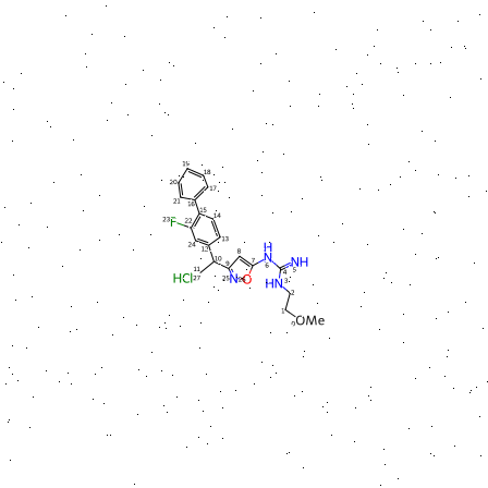 COCCNC(=N)Nc1cc(C(C)c2ccc(-c3ccccc3)c(F)c2)no1.Cl